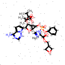 CC(C)C(=O)O[C@H]1[C@H](c2ccc3c(N)ncnn23)O[C@]2(C#N)C(OP(=O)(N[C@@H](C)C(=O)OCC3COC3)Oc3ccccc3)[C@]12OC(=O)C(C)C